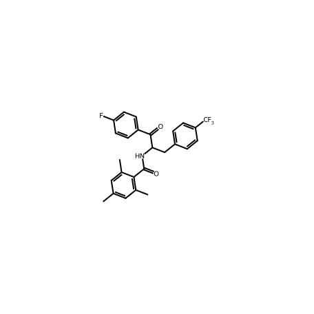 Cc1cc(C)c(C(=O)NC(Cc2ccc(C(F)(F)F)cc2)C(=O)c2ccc(F)cc2)c(C)c1